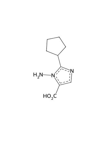 Nn1c(C(=O)O)cnc1C1CCCC1